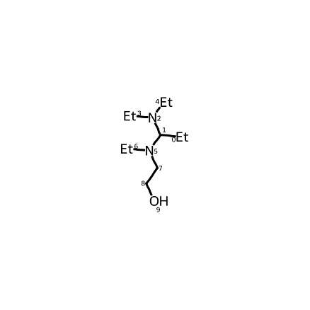 CCC(N(CC)CC)N(CC)CCO